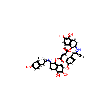 CC(Cc1ccc(O)cc1)NC1CCc2c(ccc(O)c2O)C1OC(=O)/C=C/C(=O)OC1c2ccc(O)c(O)c2CCC1NC(C)Cc1ccc(O)cc1